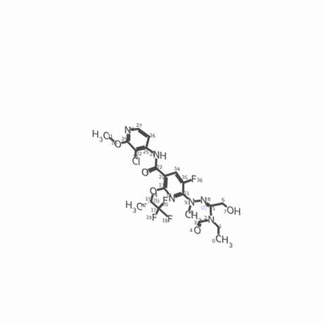 CCN(C=O)/C(CO)=N\N(C)c1nc(O[C@@H](C)C(F)(F)F)c(C(=O)Nc2ccnc(OC)c2Cl)cc1F